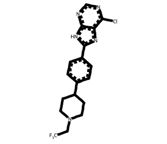 FC(F)(F)CN1CCC(c2ccc(-c3nc4c(Cl)ncnc4[nH]3)cc2)CC1